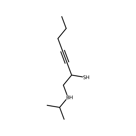 CCCC#CC(S)CBC(C)C